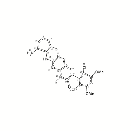 COc1cc(OC)c(Cl)c(-c2cc3cnc(Nc4c(C)cccc4N)nc3n(C)c2=O)c1Cl